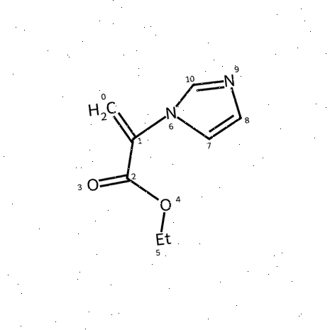 C=C(C(=O)OCC)n1ccnc1